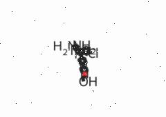 NC(N)=Nc1nc(-c2ccc(N3CCN(CCO)CC3)cc2)c2cc(Cl)ccc2n1